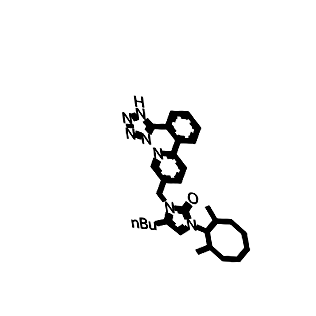 CCCCc1cn(C2C(C)CCCCCC2C)c(=O)n1Cc1ccc(-c2ccccc2-c2nnn[nH]2)nc1